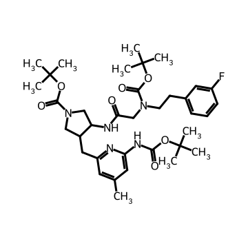 Cc1cc(CC2CN(C(=O)OC(C)(C)C)CC2NC(=O)CN(CCc2cccc(F)c2)C(=O)OC(C)(C)C)nc(NC(=O)OC(C)(C)C)c1